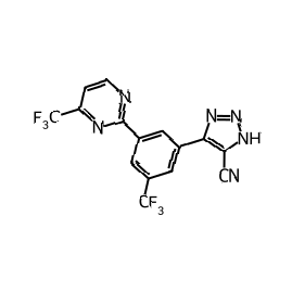 N#Cc1[nH]nnc1-c1cc(-c2nccc(C(F)(F)F)n2)cc(C(F)(F)F)c1